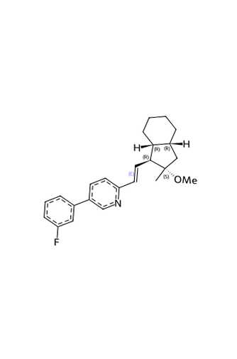 CO[C@@]1(C)C[C@H]2CCCC[C@H]2[C@@H]1/C=C/c1ccc(-c2cccc(F)c2)cn1